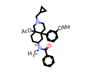 COc1cccc(C23CCN(CC4CC4)CC2(OC(C)=O)CC[C@H](N(C)C(=O)c2ccccc2)C3)c1